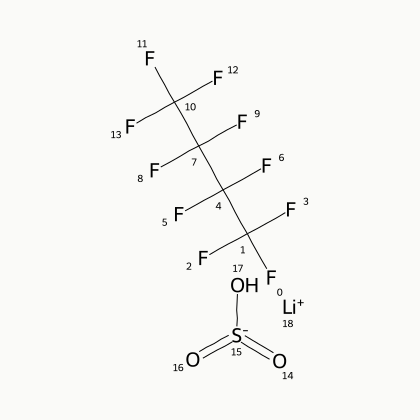 FC(F)(F)C(F)(F)C(F)(F)C(F)(F)F.O=[S-](=O)O.[Li+]